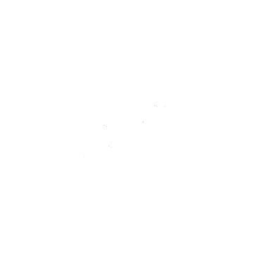 Cc1nc(-c2cccc(N=C=O)c2)no1